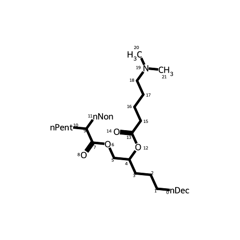 CCCCCCCCCCCCCC(COC(=O)C(CCCCC)CCCCCCCCC)OC(=O)CCCCN(C)C